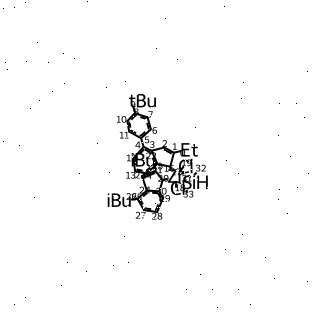 CCC1=Cc2c(-c3ccc(C(C)(C)C)cc3)cccc2[CH]1[Zr]([Cl])([Cl])([CH]1C(C(C)CC)=Cc2c(C(C)CC)cccc21)[SiH](C)C